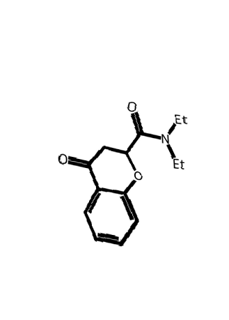 CCN(CC)C(=O)C1CC(=O)c2ccccc2O1